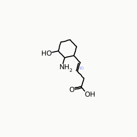 NC1C(O)CCCC1/C=C/CC(=O)O